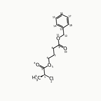 C[C@H](Cl)C(=O)OCCCC(=O)OCc1ccccc1